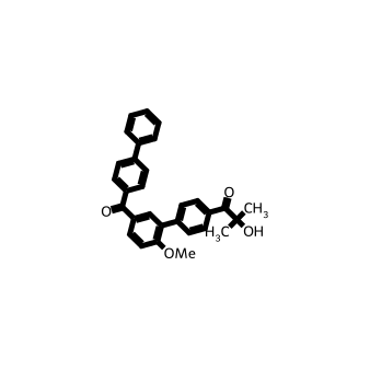 COc1ccc(C(=O)c2ccc(-c3ccccc3)cc2)cc1-c1ccc(C(=O)C(C)(C)O)cc1